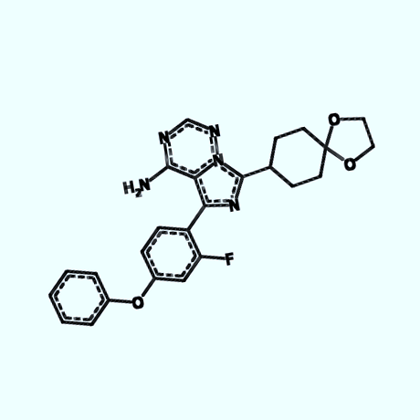 Nc1ncnn2c(C3CCC4(CC3)OCCO4)nc(-c3ccc(Oc4ccccc4)cc3F)c12